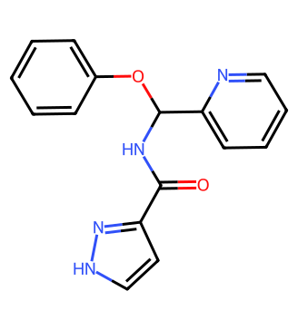 O=C(NC(Oc1ccccc1)c1ccccn1)c1cc[nH]n1